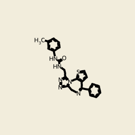 Cc1cccc(NC(=O)NCc2nnc3n2-c2sccc2C(c2ccccc2)=NC3)c1